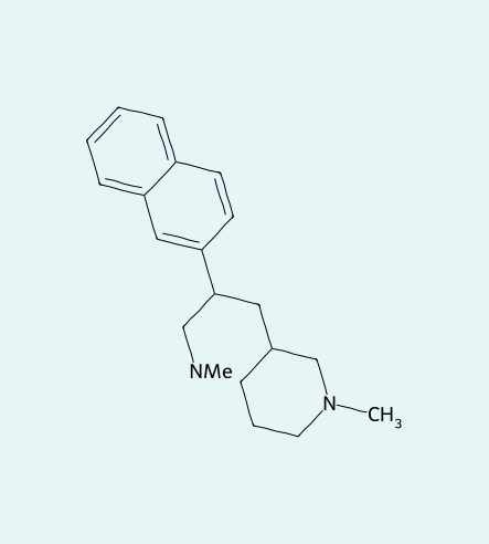 CNCC(CC1CCCN(C)C1)c1ccc2ccccc2c1